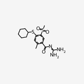 Cc1cc(SC2CCCCC2)c(S(C)(=O)=O)cc1C(=O)N=C(N)N